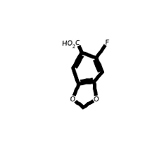 O=C(O)c1cc2c(cc1F)OCO2